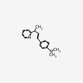 CC(C=Cc1ccc(N(C)C)cc1)c1ccccn1